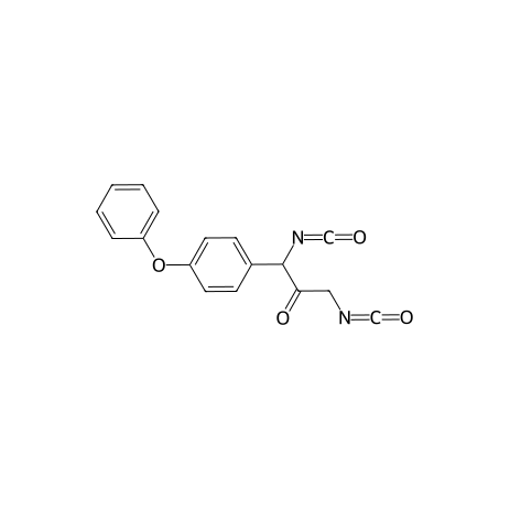 O=C=NCC(=O)C(N=C=O)c1ccc(Oc2ccccc2)cc1